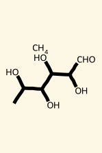 C.CC(O)C(O)C(O)C(O)C=O